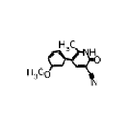 COc1cccc(-c2cc(C#N)c(=O)[nH]c2C)c1